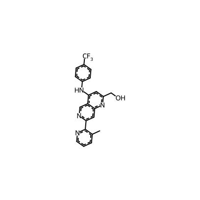 Cc1cccnc1-c1cc2nc(CO)cc(Nc3ccc(C(F)(F)F)cc3)c2cn1